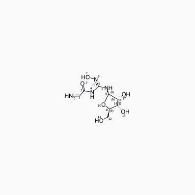 N=CC(=O)N/C(=N\O)N[C@@H]1O[C@H](CO)[C@@H](O)[C@H]1O